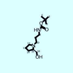 CC(C)(C)OC(=O)NCCCN1CCC[C@@H]1CO